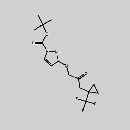 CC(C)(C)OC(=O)N1C=CC(OCC(=O)CC2(C(F)(F)F)CC2)N1